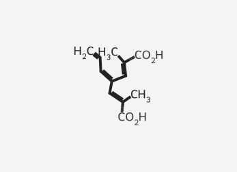 C=CC=C(C=C(C)C(=O)O)C=C(C)C(=O)O